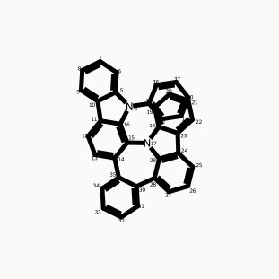 c1ccc(-n2c3ccccc3c3ccc4c(c32)-n2c3ccccc3c3cccc(c32)-c2ccccc2-4)cc1